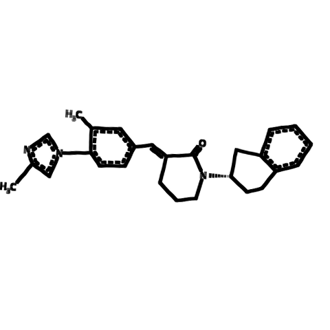 Cc1cn(-c2ccc(/C=C3\CCCN([C@H]4CCc5ccccc5C4)C3=O)cc2C)cn1